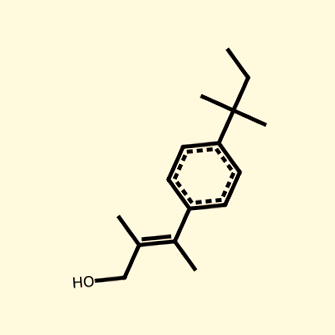 CCC(C)(C)c1ccc(/C(C)=C(\C)CO)cc1